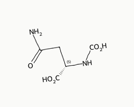 NC(=O)C[C@H](NC(=O)O)C(=O)O